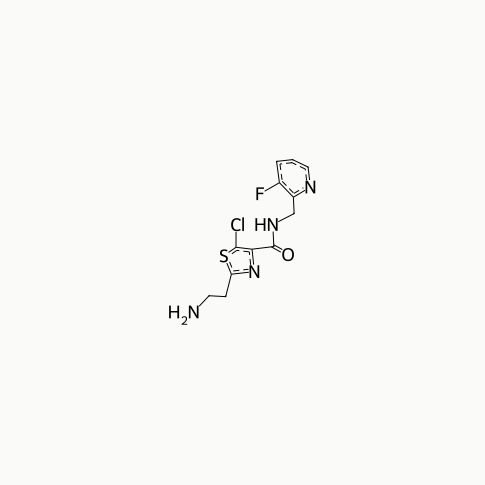 NCCc1nc(C(=O)NCc2ncccc2F)c(Cl)s1